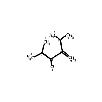 C=C(C(C)C)C(Cl)C(C)C